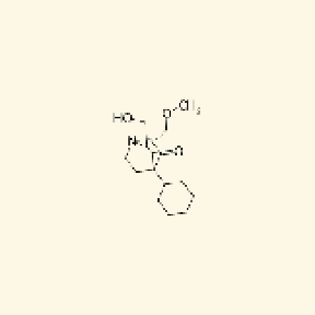 COC[C@]1(CO)C(=O)C2(C3CCCCC3)CCN1CC2